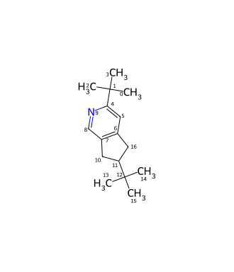 CC(C)(C)c1cc2c(cn1)CC(C(C)(C)C)C2